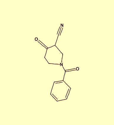 N#CC1CN(C(=O)c2ccccc2)CCC1=O